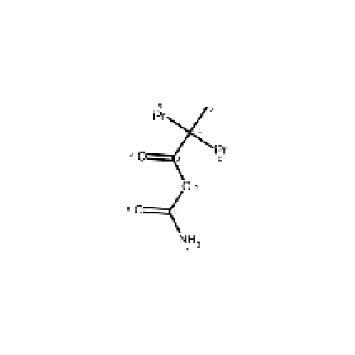 CC(C)C(C)(C(=O)OC(N)=O)C(C)C